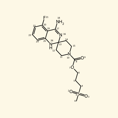 CS(=O)(=O)CCCOC(=O)N1CCC2(CC1)N=C(N)c1c(F)cccc1N2